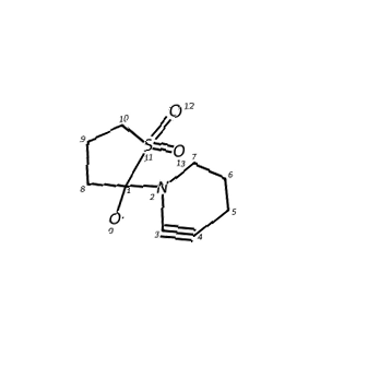 [O]C1(N2C#CCCC2)CCCS1(=O)=O